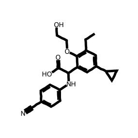 CCc1cc(C2CC2)cc(C(Nc2ccc(C#N)cc2)C(=O)O)c1OCCO